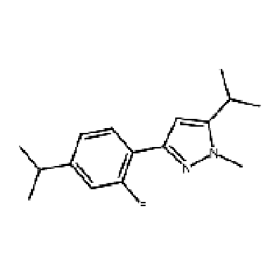 CC(C)c1ccc(-c2cc(C(C)C)n(C)n2)c(F)c1